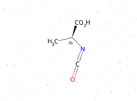 C[C@H](N=C=O)C(=O)O